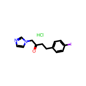 Cl.O=C(CCc1ccc(I)cc1)Cn1ccnc1